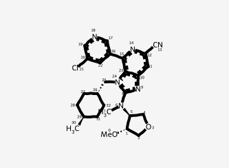 CO[C@H]1COC[C@@H]1N(C)c1nc2cc(C#N)nc(-c3cncc(Cl)c3)c2n1C[C@H]1CC[C@H](C)CC1